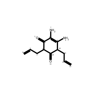 C=CCC1C(=O)C(N)=C(N)C(CC=C)C1=O